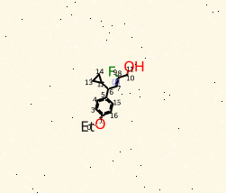 CCOc1ccc(C(/C=C(\F)CO)C2CC2)cc1